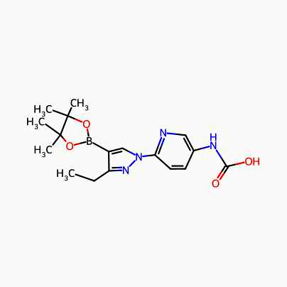 CCc1nn(-c2ccc(NC(=O)O)cn2)cc1B1OC(C)(C)C(C)(C)O1